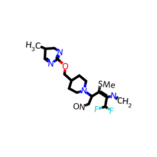 C=N/C(=C(\SC)C(CN=O)N1CCC(COC2=NCC(C)C=N2)CC1)C(F)F